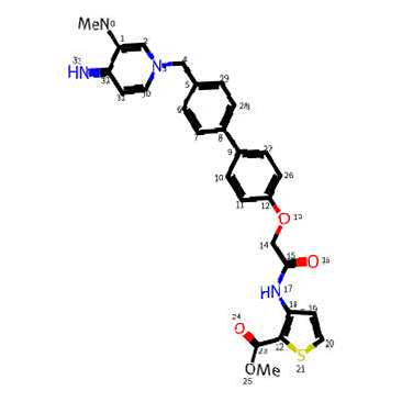 CNc1cn(Cc2ccc(-c3ccc(OCC(=O)Nc4ccsc4C(=O)OC)cc3)cc2)ccc1=N